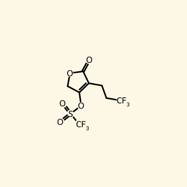 O=C1OCC(OS(=O)(=O)C(F)(F)F)=C1CCC(F)(F)F